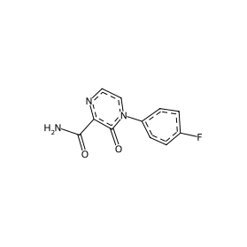 NC(=O)c1nccn(-c2ccc(F)cc2)c1=O